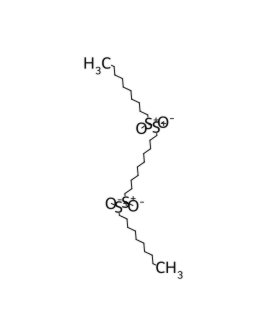 CCCCCCCCCC[S+]([O-])[S+]([O-])CCCCCCCCCC[S+]([O-])[S+]([O-])CCCCCCCCCC